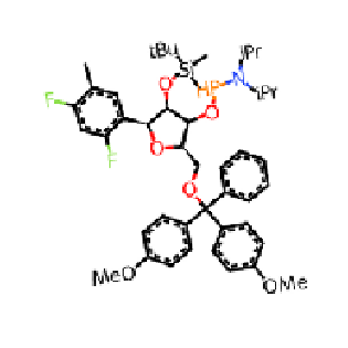 COc1ccc(C(OC[C@H]2O[C@@H](c3cc(C)c(F)cc3F)[C@@H](O[Si](C)(C)C(C)(C)C)C2OPN(C(C)C)C(C)C)(c2ccccc2)c2ccc(OC)cc2)cc1